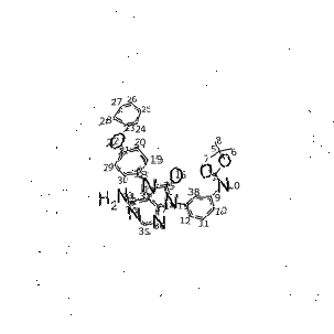 CN(C(=O)OC(C)(C)C)c1cccc(-n2c(=O)n(-c3ccc(Oc4ccccc4)cc3)c3c(N)ncnc32)c1